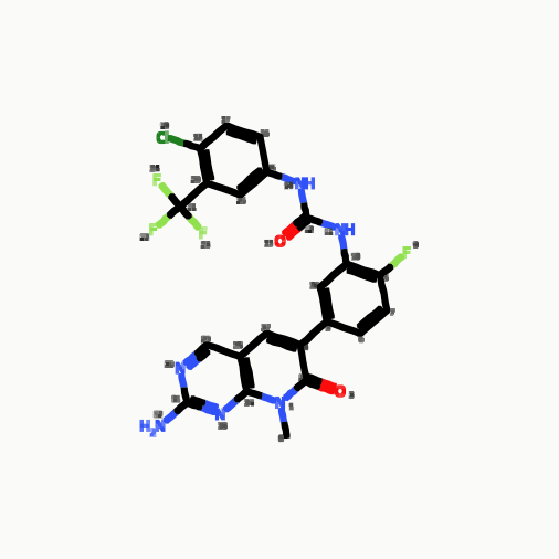 Cn1c(=O)c(-c2ccc(F)c(NC(=O)Nc3ccc(Cl)c(C(F)(F)F)c3)c2)cc2cnc(N)nc21